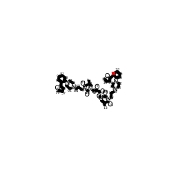 Cc1cn(OC(=O)C(=O)On2cc(C)c(=O)n(CCCN3CCN(c4ccccc4-c4ccco4)CC3)c2=O)c(=O)n(CCCN2CCN(c3ccccc3-c3ccco3)CC2)c1=O